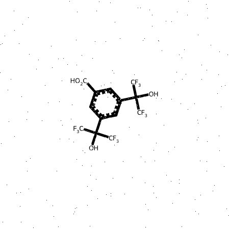 O=C(O)c1cc(C(O)(C(F)(F)F)C(F)(F)F)cc(C(O)(C(F)(F)F)C(F)(F)F)c1